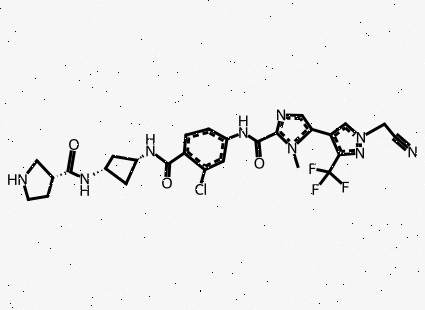 Cn1c(-c2cn(CC#N)nc2C(F)(F)F)cnc1C(=O)Nc1ccc(C(=O)N[C@H]2C[C@@H](NC(=O)[C@@H]3CCNC3)C2)c(Cl)c1